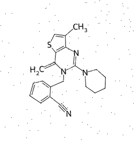 C=C1c2scc(C)c2N=C(N2CCCCC2)N1Cc1ccccc1C#N